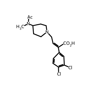 CC(=O)N(C)C1CCN(C/C=C(\C(=O)O)c2ccc(Cl)c(Cl)c2)CC1